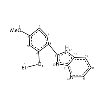 CCOc1cc(OC)ccc1-c1nc2ncccc2[nH]1